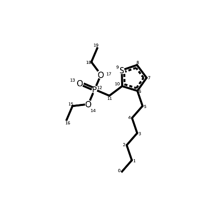 CCCCCCc1ccsc1CP(=O)(OCC)OCC